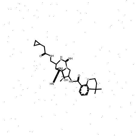 C[C@@H]1C(NC(=O)c2cccc3c2OCCC3(C)C)CN2C(=N)NC(CNC(=O)CC3CC3)C3NC(=N)N(O)C312